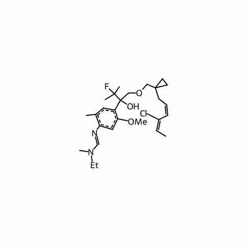 C/C=C(Cl)\C=C/CC1(COCC(O)(c2cc(C)c(/N=C/N(C)CC)cc2OC)C(C)(C)F)CC1